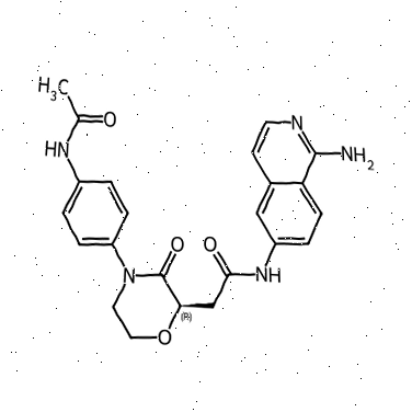 CC(=O)Nc1ccc(N2CCO[C@H](CC(=O)Nc3ccc4c(N)nccc4c3)C2=O)cc1